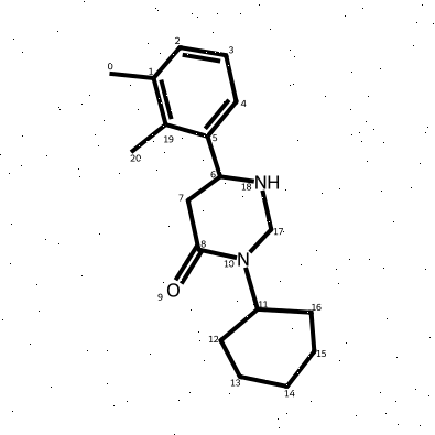 Cc1cccc(C2CC(=O)N(C3CCCCC3)CN2)c1C